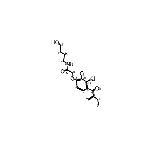 C=C(CC)C(=O)c1ccc(OCC(=O)NCCCCO)c(Cl)c1Cl